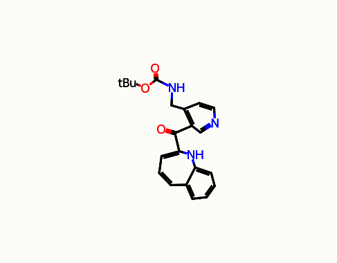 CC(C)(C)OC(=O)NCc1ccncc1C(=O)C1=CC=Cc2ccccc2N1